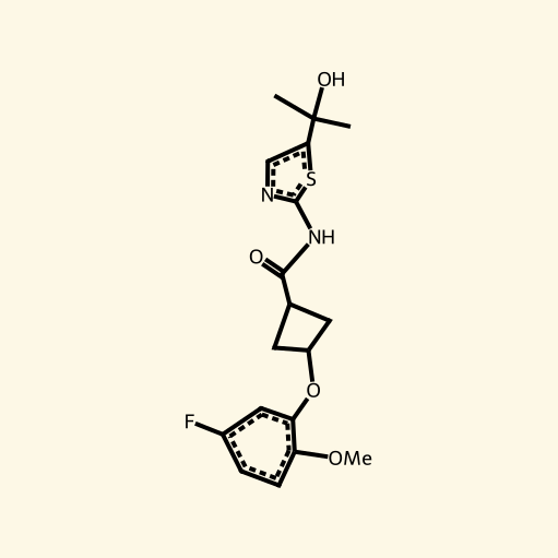 COc1ccc(F)cc1OC1CC(C(=O)Nc2ncc(C(C)(C)O)s2)C1